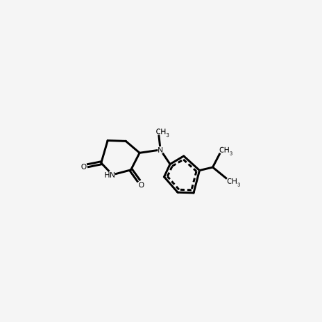 CC(C)c1cccc(N(C)C2CCC(=O)NC2=O)c1